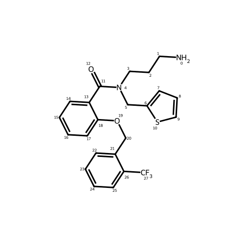 NCCCN(Cc1cccs1)C(=O)c1ccccc1OCc1ccccc1C(F)(F)F